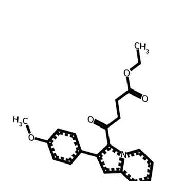 CCOC(=O)CCC(=O)c1c(-c2ccc(OC)cc2)cc2ccccn12